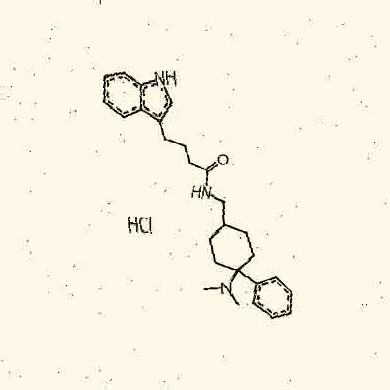 CN(C)C1(c2ccccc2)CCC(CNC(=O)CCCc2c[nH]c3ccccc23)CC1.Cl